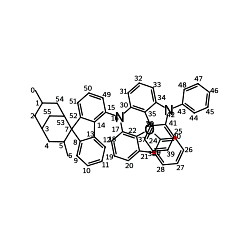 CC1CC2CC(C)C3(c4ccccc4-c4c(N(c5cccc6c5oc5ccccc56)c5cccc6c5c5ccccc5n6-c5ccccc5)cccc43)C(C1)C2